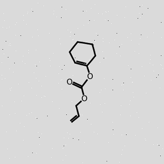 C=CCOC(=O)OC1=CCCCC1